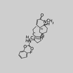 CN1C(=O)C=C[C@@]23CCC[C@]4(C)[C@@H](NC(=O)Oc5ccccc5F)CC[C@H]4[C@H](CC[C@@H]12)C3